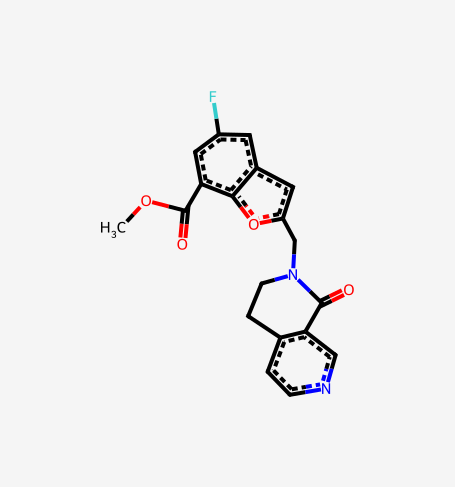 COC(=O)c1cc(F)cc2cc(CN3CCc4ccncc4C3=O)oc12